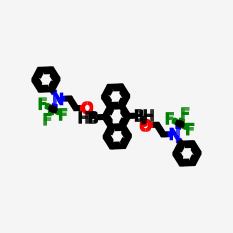 FC(F)(F)N(CCOBc1c2ccccc2c(BOCCN(c2ccccc2)C(F)(F)F)c2ccccc12)c1ccccc1